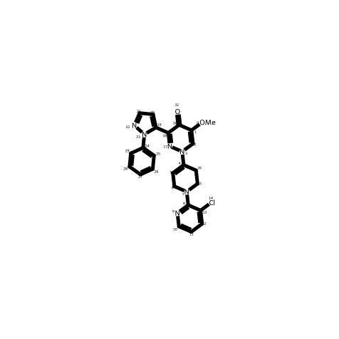 COc1cn(C2=CCN(c3ncccc3Cl)CC2)nc(-c2ccnn2-c2ccccc2)c1=O